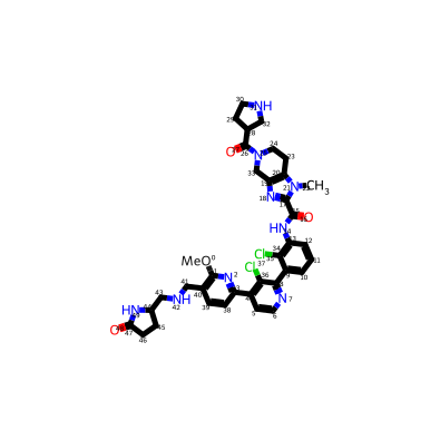 COc1nc(-c2ccnc(-c3cccc(NC(=O)c4nc5c(n4C)CCN(C(=O)C4CCNC4)C5)c3Cl)c2Cl)ccc1CNCC1CCC(=O)N1